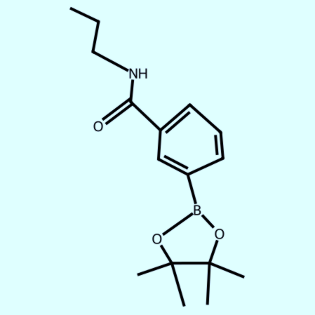 CCCNC(=O)c1cccc(B2OC(C)(C)C(C)(C)O2)c1